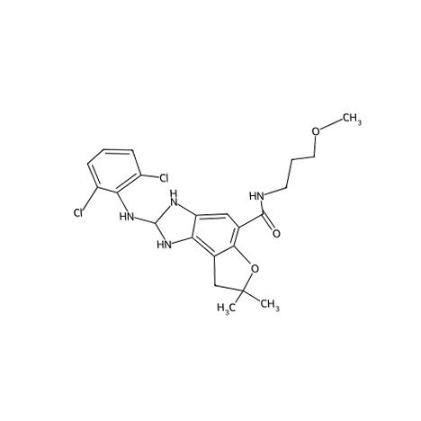 COCCCNC(=O)c1cc2c(c3c1OC(C)(C)C3)NC(Nc1c(Cl)cccc1Cl)N2